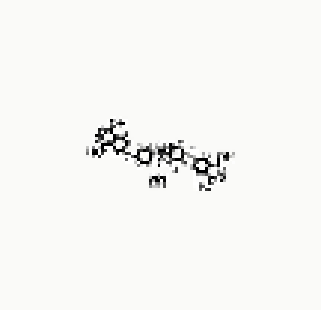 CC(C)(c1ccc(Oc2ccc(C(=O)O)c(C(=O)O)c2)cc1)c1ccc(Oc2ccc(C(=O)O)c(C(=O)O)c2)cc1.[HH].[HH]